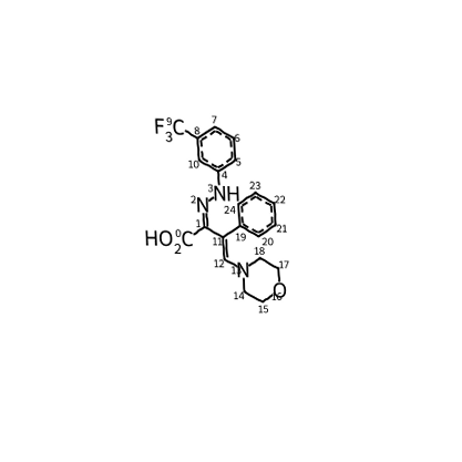 O=C(O)C(=NNc1cccc(C(F)(F)F)c1)C(=CN1CCOCC1)c1ccccc1